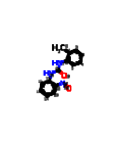 Cc1ccccc1NC(=O)Nc1ccccc1N=O